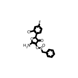 NC1=C(OS(=O)Cc2ccccc2)C(=O)C(c2ccc(F)cc2Cl)O1